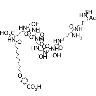 CC(=O)[C@H](CCCCNC(=O)[C@@H](N)CCCCNC(=O)CNC(=O)[C@H](CO)NC(=O)[C@H](CO)NC(=O)CNC(=O)[C@H](CO)NC(=O)[C@H](CO)NC(=O)CCC(NC(=O)CCCCCCCCCCOc1ccc(C(=O)O)cc1)C(=O)O)NS